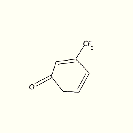 O=C1C=C(C(F)(F)F)C=CC1